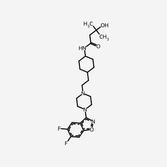 CC(C)(O)CC(=O)NC1CCC(CCN2CCN(c3noc4cc(F)c(F)cc34)CC2)CC1